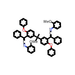 COc1ccccc1N=C=C(c1ccccc1)c1cc(C(C)(C)c2ccc(Oc3ccccc3)c(C(=C=Nc3ccccc3OC)c3ccccc3)c2)ccc1Oc1ccccc1